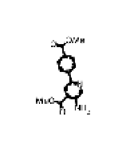 COC(=O)c1ccc(-c2cc(C(=O)OC)c(N)cn2)cc1